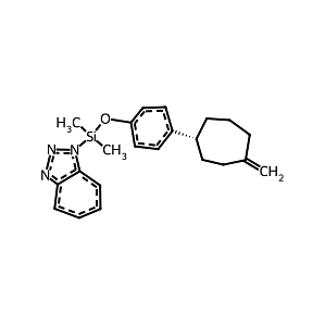 C=C1CCC[C@@H](c2ccc(O[Si](C)(C)n3nnc4ccccc43)cc2)CC1